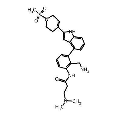 CN(C)CCC(=O)Nc1cccc(-c2cccc3[nH]c(C4=CCN(S(C)(=O)=O)CC4)cc23)c1CN